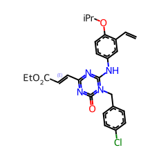 C=Cc1cc(Nc2nc(/C=C/C(=O)OCC)nc(=O)n2Cc2ccc(Cl)cc2)ccc1OC(C)C